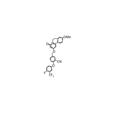 COc1ccc2c(c1)CCn1c-2cc(OCc2ccc(Oc3ccc(F)c(C(F)(F)F)c3)c(C#N)c2)nc1=O